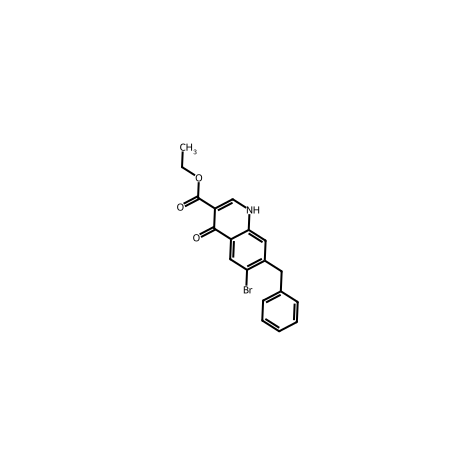 CCOC(=O)c1c[nH]c2cc(Cc3ccccc3)c(Br)cc2c1=O